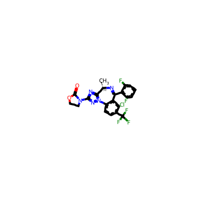 C[C@@H]1N=C(c2c(F)cccc2F)c2c(ccc(C(F)(F)F)c2Cl)-n2nc(N3CCOC3=O)nc21